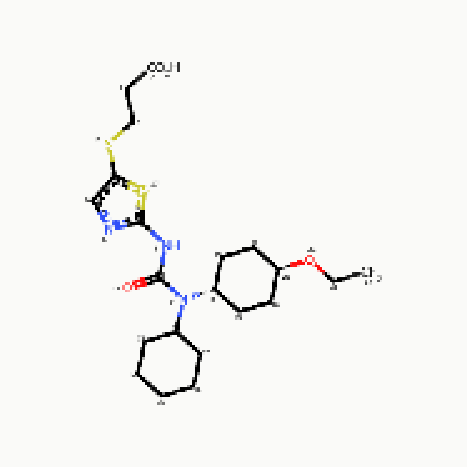 O=C(O)CCSc1cnc(NC(=O)N(C2CCCCC2)[C@H]2CC[C@H](OCC(F)(F)F)CC2)s1